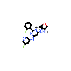 Fc1cncc(Nc2cc(NC34C5OC[C@@H]3[C@H]54)nc(-c3ccccc3F)n2)c1